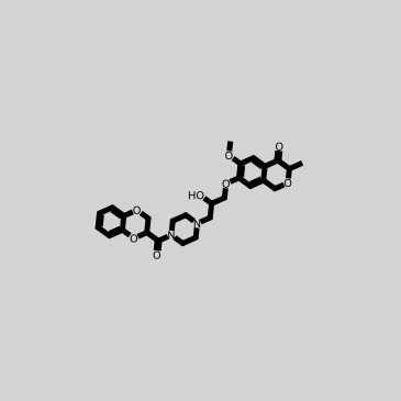 COc1cc2c(cc1OCC(O)CN1CCN(C(=O)C3COc4ccccc4O3)CC1)COC(C)C2=O